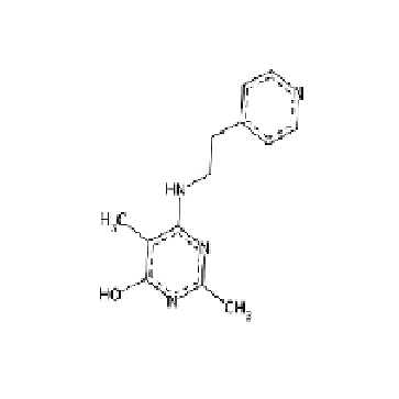 Cc1nc(O)c(C)c(NCCc2ccncc2)n1